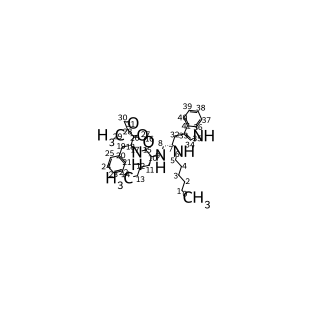 CCCCCCN[C@H](CN[C@@H](CCCC)C(=O)N[C@@H](Cc1ccccc1)C(=O)[C@@]1(C)CO1)Cc1c[nH]c2ccccc12